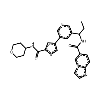 CCC(NC(=O)c1ccc2nccn2c1)c1cncc(-c2csc(C(=O)NC3CCOCC3)c2)c1